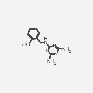 CCCCc1ccccc1CNc1nc(N)nc(N)n1